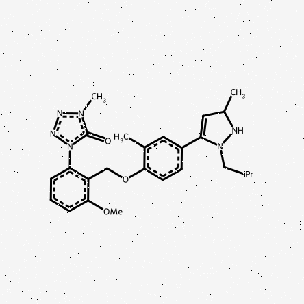 COc1cccc(-n2nnn(C)c2=O)c1COc1ccc(C2=CC(C)NN2CC(C)C)cc1C